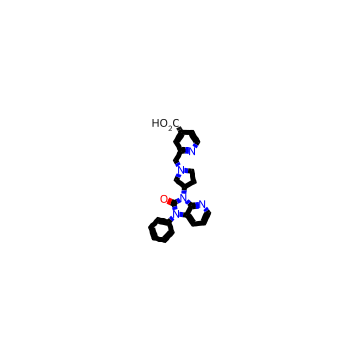 O=C(O)c1ccnc(CN2CCC(n3c(=O)n(-c4ccccc4)c4cccnc43)C2)c1